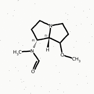 COC1CCN2CC[C@@H](N(C)C=O)[C@@H]12